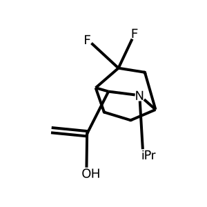 C=C(O)C1C2CCC(CC2(F)F)N1C(C)C